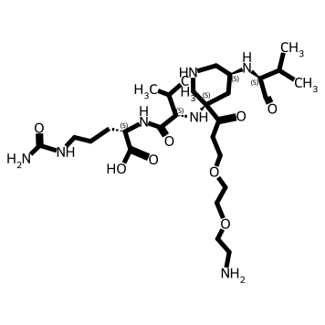 CC(C)[C@H](N[C@]1(C(=O)CCOCCOCCN)CNC[C@@H](N[C@H](C=O)C(C)C)C1)C(=O)N[C@@H](CCCNC(N)=O)C(=O)O